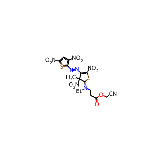 CCN(CCC(=O)OCC#N)C1SC([N+](=O)[O-])=C(N=Nc2sc([N+](=O)[O-])cc2[N+](=O)[O-])C1(C)[N+](=O)[O-]